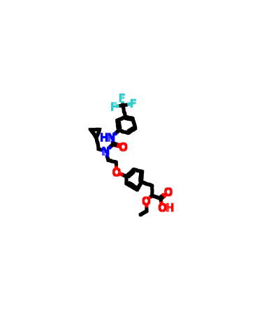 CCOC(Cc1ccc(OCCN(CC2CC2)C(=O)Nc2cccc(C(F)(F)F)c2)cc1)C(=O)O